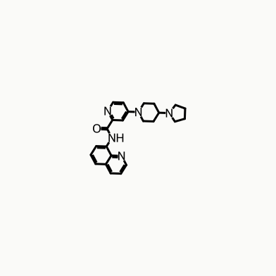 O=C(Nc1cccc2cccnc12)c1cc(N2CCC(N3CCCC3)CC2)ccn1